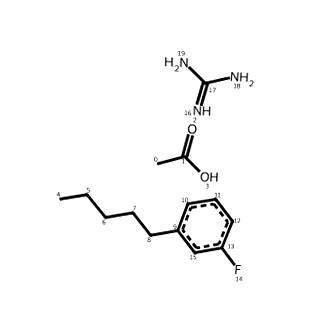 CC(=O)O.CCCCCc1cccc(F)c1.N=C(N)N